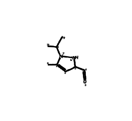 CC1=CC(C=O)NN1C(C)C